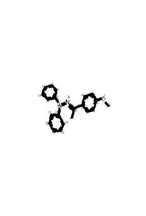 COc1ccc(/C(C)=N/N(c2ccccc2)c2ccccc2)cc1